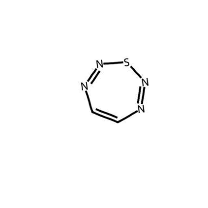 C1=CN=NSN=N1